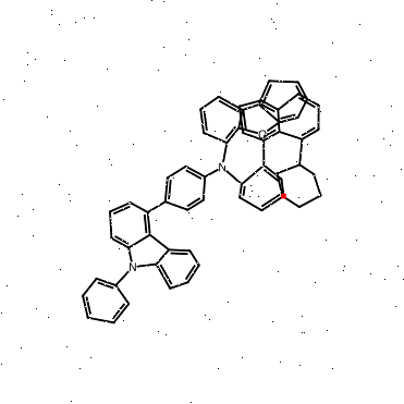 c1ccc(-n2c3ccccc3c3c(-c4ccc(N(c5ccccc5-c5cccc6cccc(C7CCCCC7)c56)c5cccc6c5oc5ccccc56)cc4)cccc32)cc1